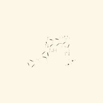 COc1cc2ncnc(Nc3ccc(OCc4ccccc4)c(I)c3)c2cc1-c1ccc(CNCCS(C)(=O)=O)o1